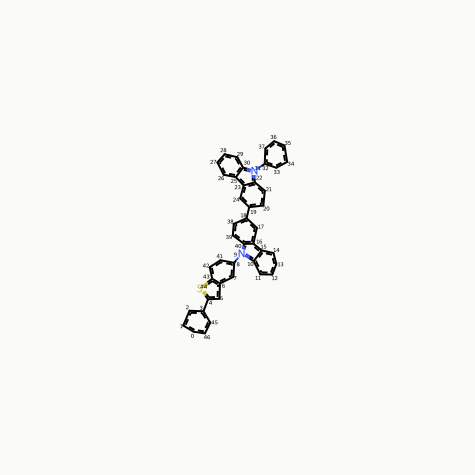 c1ccc(-c2cc3cc(-n4c5ccccc5c5cc(-c6ccc7c(c6)c6ccccc6n7-c6ccccc6)ccc54)ccc3s2)cc1